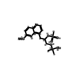 COc1ccc2nccc(CC(CO[Si](C)(C)C(C)(C)C)OS(C)(=O)=O)c2n1